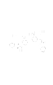 Cc1ccc(S(=O)(=O)Nc2ccc(Cc3ccc(NS(=O)(=O)c4ccc(C)cc4)cc3NC(=O)O)c(NC(=O)O)c2)cc1